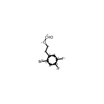 O=COCCc1cc(F)c(F)cc1Br